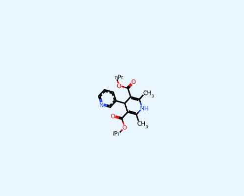 CCCOC(=O)C1=C(C)NC(C)=C(C(=O)OC(C)C)C1c1cccnc1